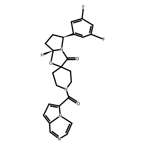 O=C(c1ccc2cnccn12)N1CCC2(CC1)O[C@@H]1CC[C@@H](c3cc(F)cc(F)c3)N1C2=O